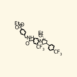 CCOC[C@@H]1CC(c2ccc(C(F)(F)F)cc2)CN1c1ccc(C(=O)NCc2ccc(S(=O)(=O)CC)cc2)cc1C(F)(F)F